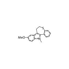 COc1ccc2c(c1)c1c(n2C)-c2ccccc2SCC1